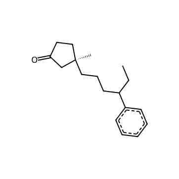 CCC(CCC[C@]1(C)CCC(=O)C1)c1ccccc1